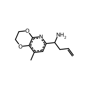 C=CCC(N)c1cc(C)c2c(n1)OCCO2